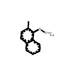 Cc1ccc2ccccc2c1OC=O.[Cd]